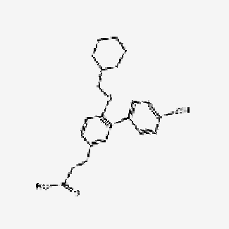 O=C(O)CCc1ccc(OCC2CCCCC2)c(-c2ccc(O)cc2)c1